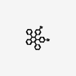 Brc1ccc(-c2c(-c3ccc(Br)cc3)c(-c3ccccc3)c3ccccc3c2-c2ccccc2)cc1